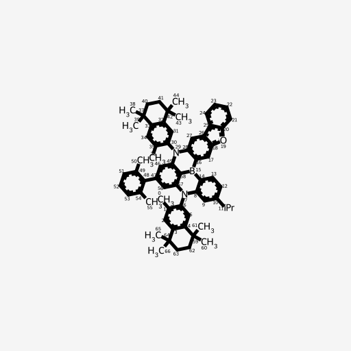 Cc1cc2c(cc1N1c3cc(C(C)C)ccc3B3c4cc5oc6ccccc6c5cc4N(c4cc5c(cc4C)C(C)(C)CCC5(C)C)c4cc(-c5c(C)cccc5C)cc1c43)C(C)(C)CCC2(C)C